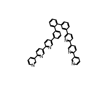 c1cncc(-c2ccc(-c3ccc(-c4cccc(-c5ccccc5-c5cccc(-c6ccc(-c7ccc(-c8cccnc8)nc7)nc6)c5)c4)cn3)cn2)c1